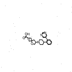 O=C(O)N1CC2(CC(N3CCC(c4ccccc4-c4cncnc4)CC3)CO2)C1